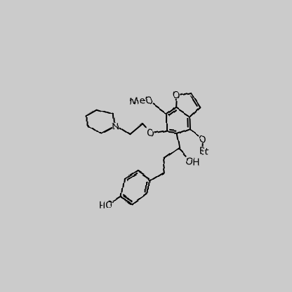 CCOc1c(C(O)CCc2ccc(O)cc2)c(OCCN2CCCCC2)c(OC)c2occc12